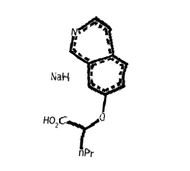 CCCC(Oc1ccc2ccncc2c1)C(=O)O.[NaH]